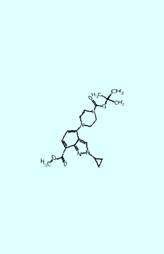 COC(=O)c1ccc(N2CCN(C(=O)OC(C)(C)C)CC2)c2cn(C3CC3)nc12